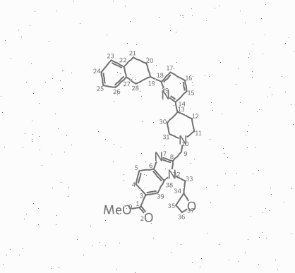 COC(=O)c1ccc2nc(CN3CCC(c4cccc(C5CCc6ccccc6C5)n4)CC3)n(CC3CCO3)c2c1